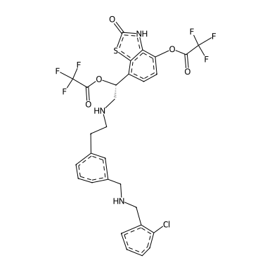 O=C(Oc1ccc([C@H](CNCCc2cccc(CNCc3ccccc3Cl)c2)OC(=O)C(F)(F)F)c2sc(=O)[nH]c12)C(F)(F)F